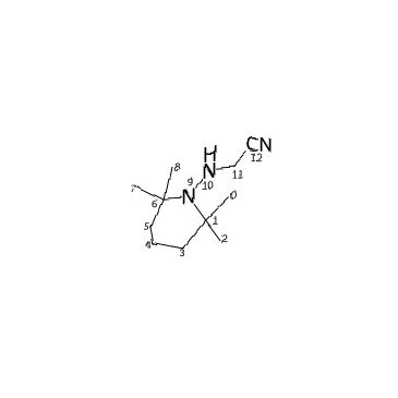 CC1(C)CCCC(C)(C)N1NCC#N